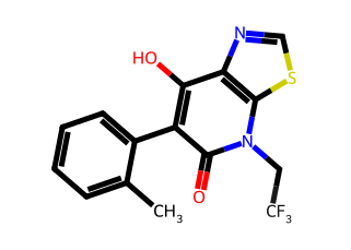 Cc1ccccc1-c1c(O)c2ncsc2n(CC(F)(F)F)c1=O